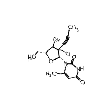 CC#CC1(Cl)C(O)[C@@H](CO)O[C@H]1n1c(C)cc(=O)[nH]c1=O